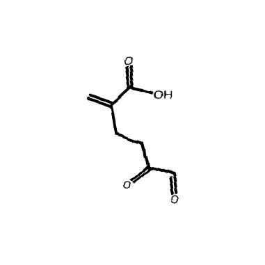 C=C(CCC(=O)C=O)C(=O)O